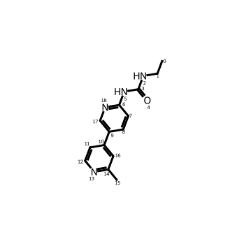 CCNC(=O)Nc1ccc(-c2ccnc(C)c2)cn1